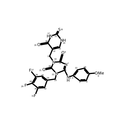 COc1ccc(Nc2nc(=O)n(Cc3c[nH]c(=S)[nH]c3=O)c(=O)n2Cc2cc(F)c(F)c(F)c2)cc1